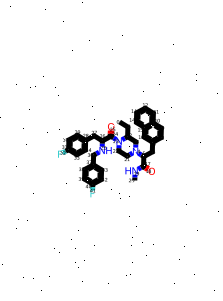 CCC1CN(C(Cc2ccc3ccccc3c2)C(=O)NC)CCN1C(=O)C(Cc1ccc(F)cc1)NCc1ccc(F)cc1